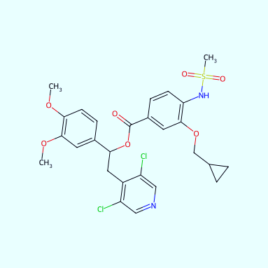 COc1ccc(C(Cc2c(Cl)cncc2Cl)OC(=O)c2ccc(NS(C)(=O)=O)c(OCC3CC3)c2)cc1OC